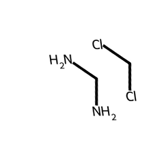 ClCCl.NCN